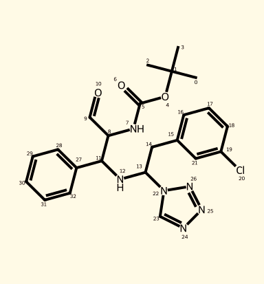 CC(C)(C)OC(=O)NC(C=O)C(NC(Cc1cccc(Cl)c1)n1cnnn1)c1ccccc1